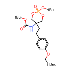 CCCCCCCCCCCOc1ccc(CCC2(NC(=O)OC(C)(C)C)COP(=O)(OC(C)(C)C)OC2)cc1